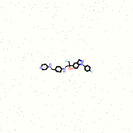 OC(CF)(CNc1ccc(CNc2ccncc2)cc1)c1ccc2c(cnn2-c2ccc(F)cc2)c1